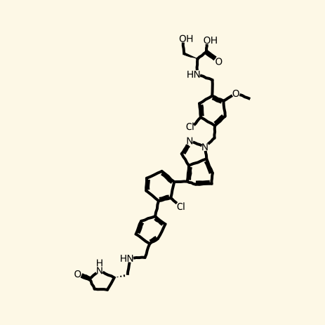 COc1cc(Cn2ncc3c(-c4cccc(-c5ccc(CNC[C@@H]6CCC(=O)N6)cc5)c4Cl)cccc32)c(Cl)cc1CN[C@@H](CO)C(=O)O